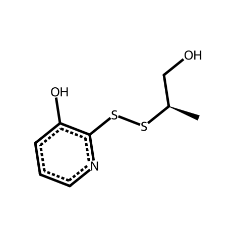 C[C@H](CO)SSc1ncccc1O